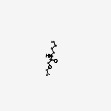 [CH2]COCC(=O)NCCCC